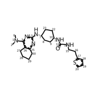 CN(C)c1nc(N[C@H]2CC[C@@H](NC(=O)NCCc3cccs3)CC2)nc2c1CCCC2